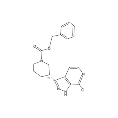 O=C(OCc1ccccc1)N1CCC[C@@H](c2n[nH]c3c(Cl)nccc23)C1